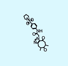 CC1CC(=O)c2c(ncn2CC(=O)Nc2ccc(S(=O)(=O)N3CCCC3)cc2)CC(C)C1=O